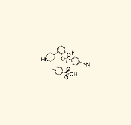 CC1(c2ccc(C#N)cc2F)Oc2cccc(C3CCNCC3)c2O1.Cc1ccc(S(=O)(=O)O)cc1